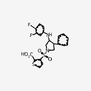 O=C(O)c1sccc1S(=O)(=O)N1CC(Nc2ccc(F)c(F)c2)C(c2ccccc2)C1